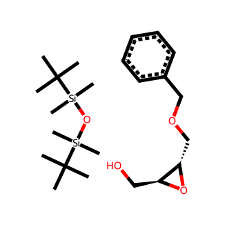 CC(C)(C)[Si](C)(C)O[Si](C)(C)C(C)(C)C.OC[C@@H]1O[C@H]1COCc1ccccc1